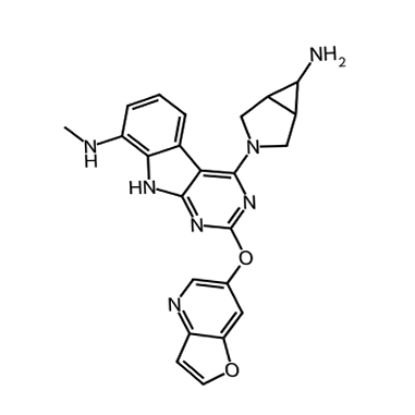 CNc1cccc2c1[nH]c1nc(Oc3cnc4ccoc4c3)nc(N3CC4C(N)C4C3)c12